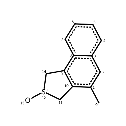 Cc1cc2ccccc2c2c1C[S+]([O-])C2